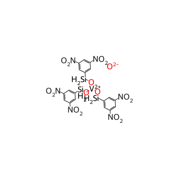 O=[N+]([O-])c1cc([SiH2][O][V+2]([O][SiH2]c2cc([N+](=O)[O-])cc([N+](=O)[O-])c2)[O][SiH2]c2cc([N+](=O)[O-])cc([N+](=O)[O-])c2)cc([N+](=O)[O-])c1.[O-2]